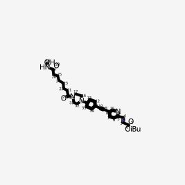 CC(C)COC(=O)/C=C/c1ccc(C#Cc2ccc(N3CCN(C(=O)CCCCCCC(=O)NO)CC3)cc2)cn1